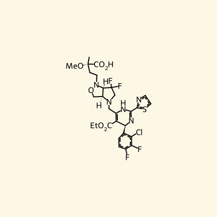 CCOC(=O)C1=C(CN2CC(F)(F)[C@H]3[C@@H]2CON3CC[C@](C)(OC)C(=O)O)NC(c2nccs2)=N[C@H]1c1ccc(F)c(F)c1Cl